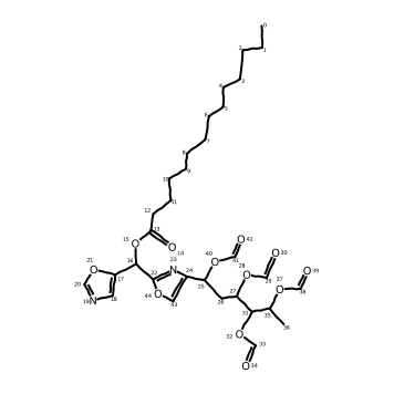 CCCCCCCCCCCCCC(=O)OC(c1cnco1)c1nc(C(CC(OC=O)C(OC=O)C(C)OC=O)OC=O)co1